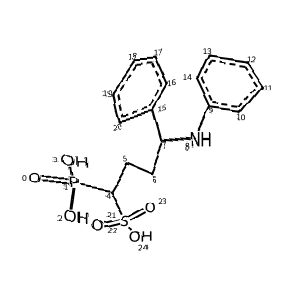 O=P(O)(O)C(CCC(Nc1ccccc1)c1ccccc1)S(=O)(=O)O